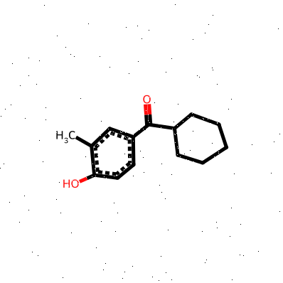 Cc1cc(C(=O)C2CCCCC2)ccc1O